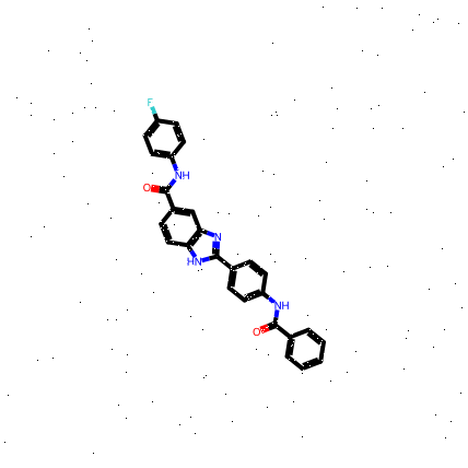 O=C(Nc1ccc(-c2nc3cc(C(=O)Nc4ccc(F)cc4)ccc3[nH]2)cc1)c1ccccc1